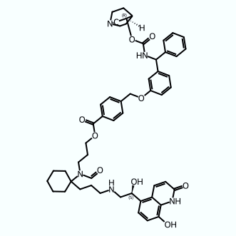 O=CN(CCCOC(=O)c1ccc(COc2cccc(C(NC(=O)O[C@H]3CN4CCC3CC4)c3ccccc3)c2)cc1)C1(CCCNC[C@@H](O)c2ccc(O)c3[nH]c(=O)ccc23)CCCCC1